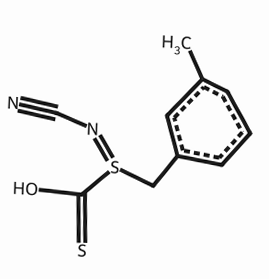 Cc1cccc(CS(=NC#N)C(O)=S)c1